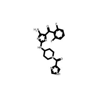 Nc1nc(NC2CCN(C(=O)c3c[nH]cn3)CC2)sc1C(=O)c1c(F)cccc1F